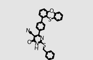 N#Cc1c(-c2ccc(-c3cccc4c3Sc3ccccc3O4)cc2)nc(SCc2ccccc2)[nH]c1=O